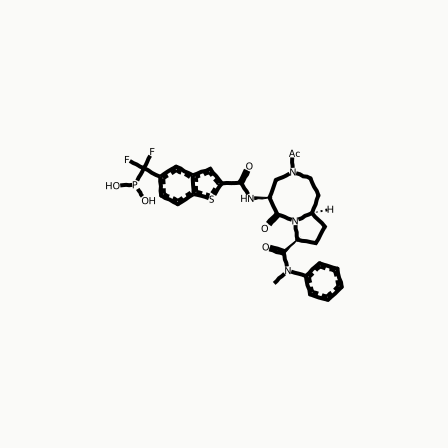 CC(=O)N1CC[C@H]2CC[C@@H](C(=O)N(C)c3ccccc3)N2C(=O)[C@@H](NC(=O)c2cc3cc(C(F)(F)P(O)O)ccc3s2)C1